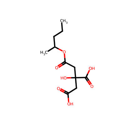 CCCC(C)OC(=O)CC(O)(CC(=O)O)C(=O)O